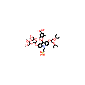 CCC(CC)OCC(COC(CC)CC)Oc1ccc2c(c1)c(C(=O)Oc1c(C)cc(C(=O)O)cc1C)c1cc(OC(COC(COC)COC)COC(COC)COC)ccc1[n+]2CCCS(=O)(=O)[O-]